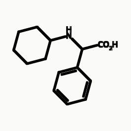 O=C(O)C(NC1CCCCC1)c1ccccc1